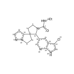 CCNC(=O)N1CCC2(CCn3nccc32)C1c1cnc2[nH]cc(Cl)c2c1